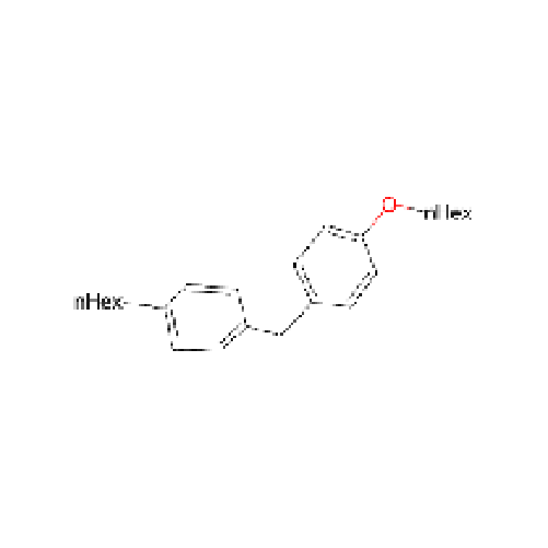 CCCCCCOc1ccc(Cc2ccc(CCCCCC)cc2)cc1